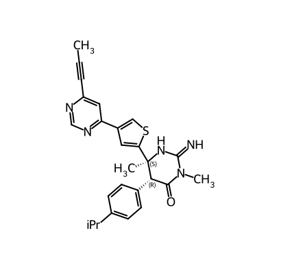 CC#Cc1cc(-c2csc([C@@]3(C)NC(=N)N(C)C(=O)[C@@H]3c3ccc(C(C)C)cc3)c2)ncn1